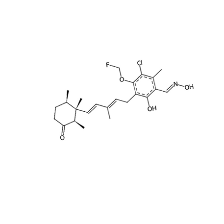 CC(/C=C/[C@@]1(C)[C@H](C)CCC(=O)[C@@H]1C)=C\Cc1c(O)c(/C=N/O)c(C)c(Cl)c1OCF